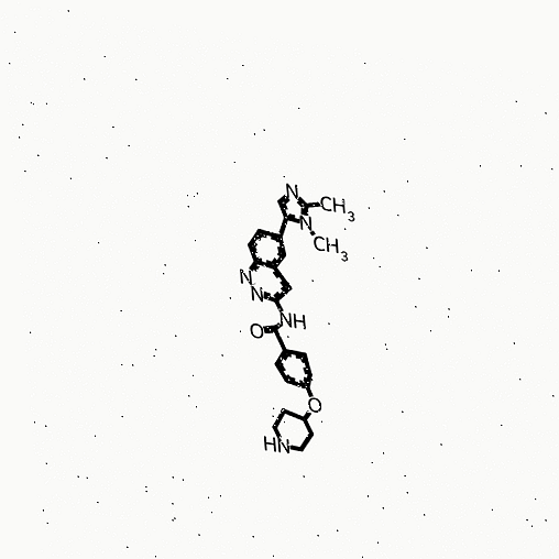 Cc1ncc(-c2ccc3nnc(NC(=O)c4ccc(OC5CCNCC5)cc4)cc3c2)n1C